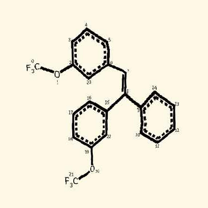 FC(F)(F)Oc1cccc(C=C(c2ccccc2)c2cccc(OC(F)(F)F)c2)c1